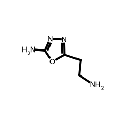 NCCc1nnc(N)o1